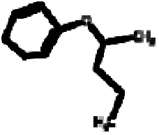 CCCC(C)OC1=C[CH]CC=C1